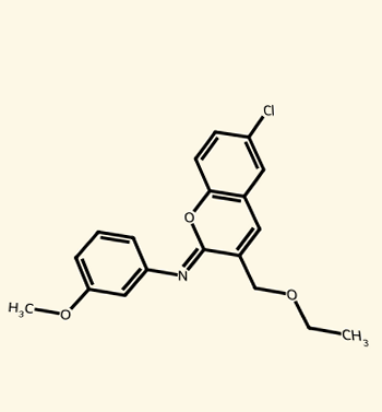 CCOCc1cc2cc(Cl)ccc2o/c1=N\c1cccc(OC)c1